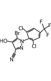 N#Cc1nn(-c2c(Cl)cc(C(F)(F)F)cc2Cl)c(Br)c1O